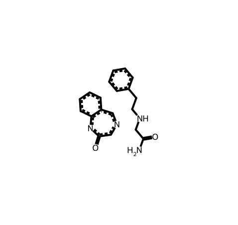 NC(=O)CNCCc1ccccc1.O=c1cncc2ccccc2n1